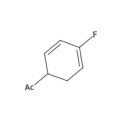 CC(=O)C1C=CC(F)=CC1